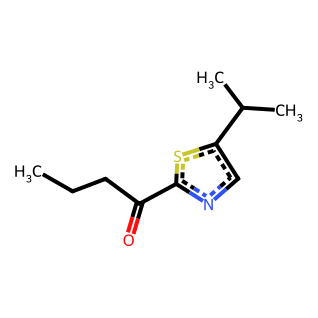 CCCC(=O)c1ncc(C(C)C)s1